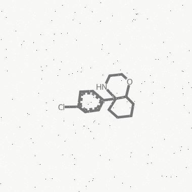 Clc1ccc(C23CCCCC2OCCN3)cc1